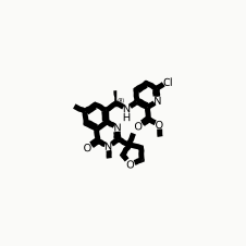 COC(=O)c1nc(Cl)ccc1N[C@H](C)c1cc(C)cc2c(=O)n(C)c(C3(C)CCOC3)nc12